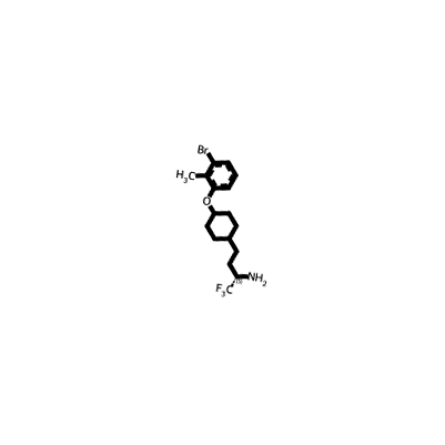 Cc1c(Br)cccc1OC1CCC(CC[C@H](N)C(F)(F)F)CC1